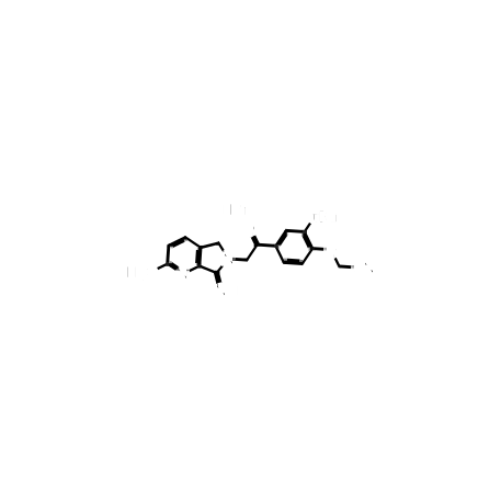 Br.Cc1ccc2c(n1)C(=N)N(CC(=O)c1ccc(OCC#N)c(C(C)(C)C)c1)C2